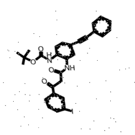 CC(C)(C)OC(=O)Nc1ccc(C#Cc2ccccc2)cc1NC(=O)CC(=O)c1cccc(I)c1